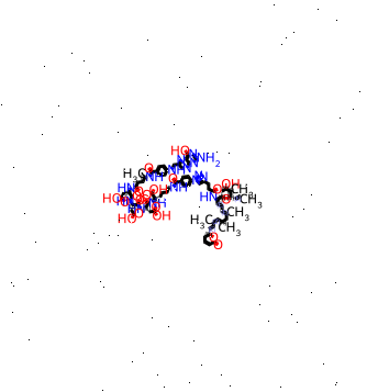 C/C=C/[C@@H]1O[C@H]([C@@H](/C=C/C=C(\C)C[C@@H](C)/C=C(C)\C=C\[C@H]2CC=CC(=O)O2)NC(=O)CCc2cn(-c3ccc(C(=O)NCCCC[C@H](NC(=O)[C@H](CC(=O)O)NC(=O)[C@H](CC(=O)O)NC(=O)[C@@H](CC(=O)O)NC(=O)CC[C@@H](C)NC(=O)c4ccc(NCc5cnc6nc(N)nc(O)c6n5)cc4)C(=O)O)cc3)nn2)C[C@@H](O)[C@@H]1C